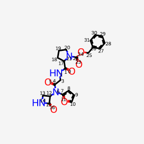 O=C(NCC(=O)N(c1ccco1)C1CNC1=O)C1CCCN1C(=O)OCc1ccccc1